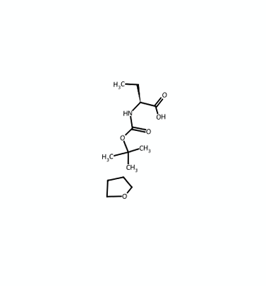 C1CCOC1.CC[C@H](NC(=O)OC(C)(C)C)C(=O)O